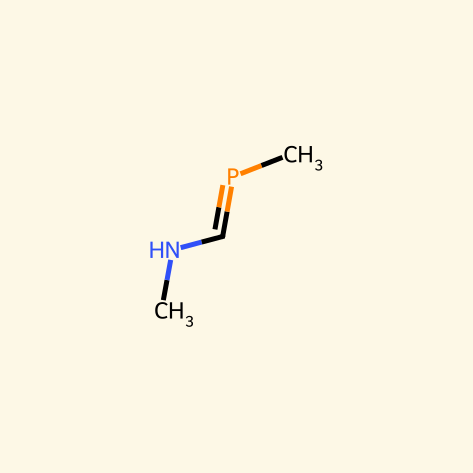 CNC=PC